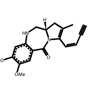 C#C/C=C\C1=C(C)C[C@H]2CNc3cc(O)c(OC)cc3C(=O)N12